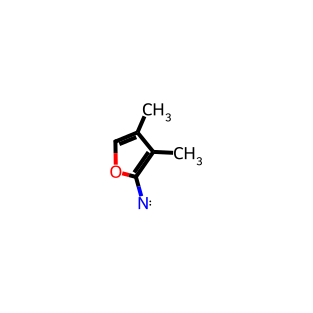 Cc1coc([N])c1C